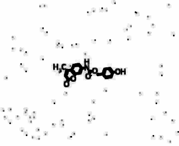 Cc1cc(=O)oc2cc(NC(=O)OCc3ccc(O)cc3)ccc12